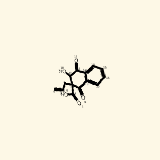 C=CCC1(C(=O)O)C(=O)c2ccccc2C(=O)C1O